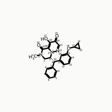 CN1CC([C@@H](c2ccccc2)c2cccc(OC3CC3)c2)n2ncc(=O)c(O)c2C1=O